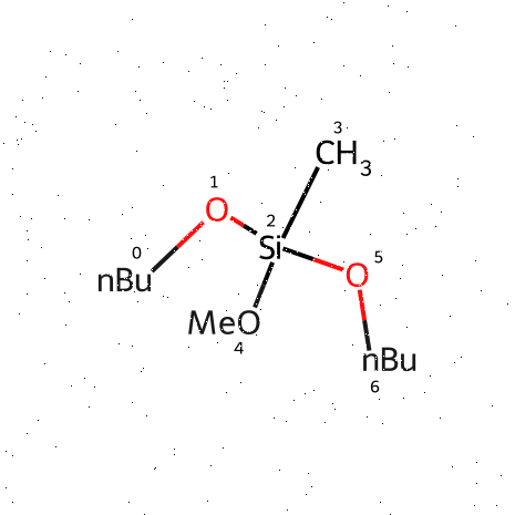 CCCCO[Si](C)(OC)OCCCC